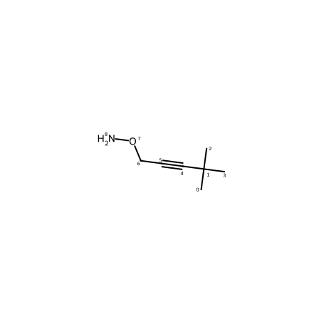 CC(C)(C)C#CCON